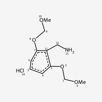 COCOc1cccc(OCOC)c1CN.Cl